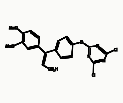 COc1ccc(C(=CC(=O)O)c2ccc(Oc3nc(Cl)nc(Cl)n3)cc2)cc1OC